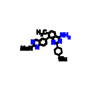 CNc1ncc2cc(-c3c(C)ccc4c(N)nc(C5CCC(C(C)(C)C)CC5)nc34)ccc2n1